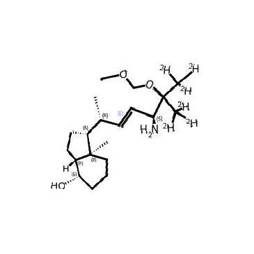 [2H]C([2H])([2H])C(OCOC)([C@@H](N)/C=C/[C@@H](C)[C@H]1CC[C@H]2[C@@H](O)CCC[C@]12C)C([2H])([2H])[2H]